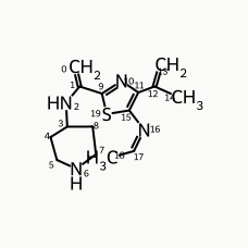 C=C(NC1CCNCC1)c1nc(C(=C)C)c(/N=C\C)s1